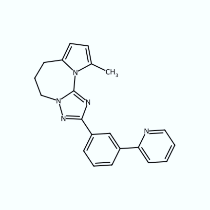 Cc1ccc2n1-c1nc(-c3cccc(-c4ccccn4)c3)nn1CCC2